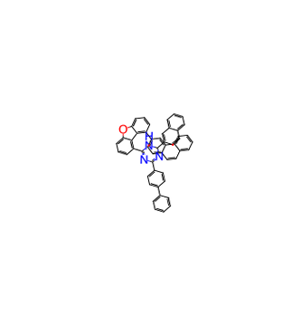 c1ccc(-c2ccc(C3=NC(c4ccc5ccccc5c4)NC(c4cccc5oc6cccc(-c7ccc8ccc9ccccc9c8c7)c6c45)=N3)cc2)cc1